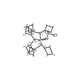 ClP(Cl)N=P(N(C1CCC1)C1CCC1)(N(C1CCC1)C1CCC1)N(C1CCC1)C1CCC1